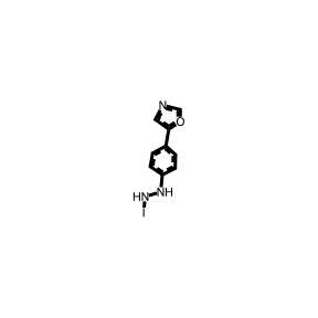 INNc1ccc(-c2cnco2)cc1